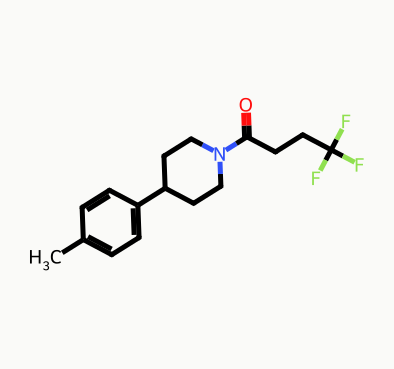 Cc1ccc(C2CCN(C(=O)CCC(F)(F)F)CC2)cc1